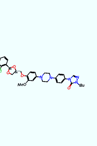 CCC(C)n1ncn(-c2ccc(N3CCN(c4ccc(OC[C@@H]5CO[C@@H](c6ccc(Cl)cc6Cl)O5)c(OC)c4)CC3)cc2)c1=O